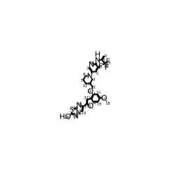 C=C(Nc1ccc(N2CCCC(COc3cc(OC)cc4oc(-c5cn6nc(O)sc6n5)cc34)C2)cn1)C(F)(F)F